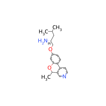 CC(C)C[C@@H](N)COc1ccc2c(c1)OC(C)c1cnccc1-2